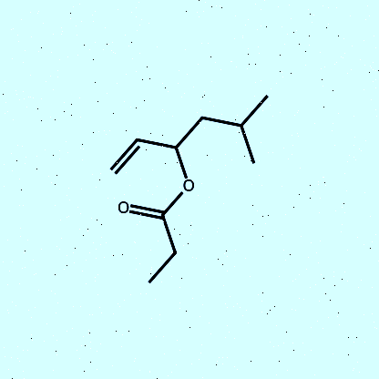 C=CC(CC(C)C)OC(=O)CC